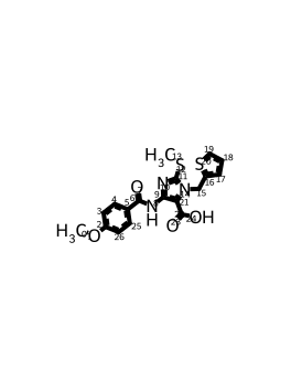 COc1ccc(C(=O)Nc2nc(SC)n(Cc3cccs3)c2C(=O)O)cc1